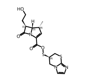 C[C@@H]1C=C(C(=O)OS[C@H]2CSc3nccn3C2)N2C(=O)[C@@H](CCO)[C@H]12